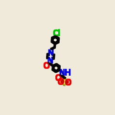 CS(=O)(=O)CC(=O)Nc1ccc(C(=O)N2CCN(CCc3ccc(Cl)cc3)CC2)cc1